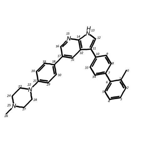 Cc1ccccc1-c1ccc(-c2c[nH]c3ncc(-c4ccc(N5CCN(C)CC5)cc4)cc23)cc1